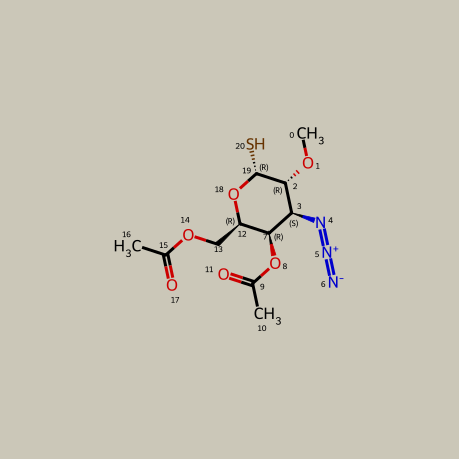 CO[C@@H]1[C@@H](N=[N+]=[N-])[C@@H](OC(C)=O)[C@@H](COC(C)=O)O[C@@H]1S